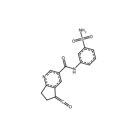 NS(=O)(=O)c1cccc(NC(=O)c2cnc3c(c2)C(=C=O)CC3)c1